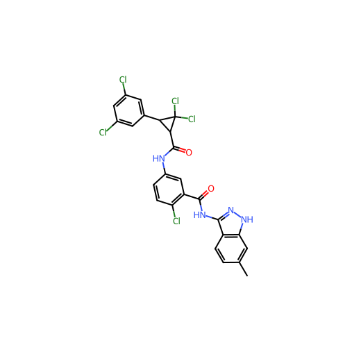 Cc1ccc2c(NC(=O)c3cc(NC(=O)C4C(c5cc(Cl)cc(Cl)c5)C4(Cl)Cl)ccc3Cl)n[nH]c2c1